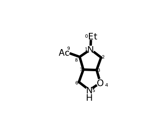 CCN1CC2ONCC2C1C(C)=O